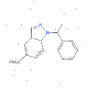 CC(c1ccccc1)N1N=CC2C=C(C(=O)O)C=CC21